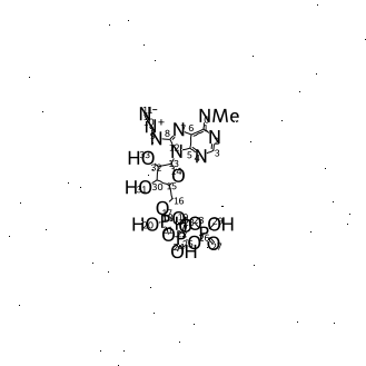 CNc1ncnc2c1nc(N=[N+]=[N-])n2C1OC(COP(=O)(O)OP(=O)(O)OP(=O)(O)O)C(O)C1O